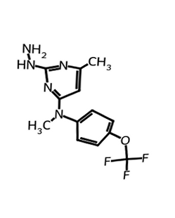 Cc1cc(N(C)c2ccc(OC(F)(F)F)cc2)nc(NN)n1